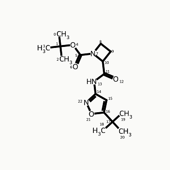 CC(C)(C)OC(=O)N1CCC1C(=O)Nc1cc(C(C)(C)C)on1